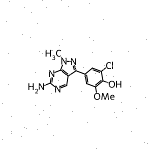 COc1cc(-c2nn(C)c3nc(N)ncc23)cc(Cl)c1O